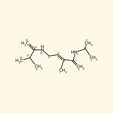 C=C(NC(C)C)/C(C)=C/CNC(=C)C(C)C